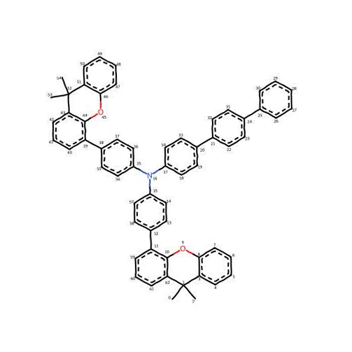 CC1(C)c2ccccc2Oc2c(-c3ccc(N(c4ccc(-c5ccc(-c6ccccc6)cc5)cc4)c4ccc(-c5cccc6c5Oc5ccccc5C6(C)C)cc4)cc3)cccc21